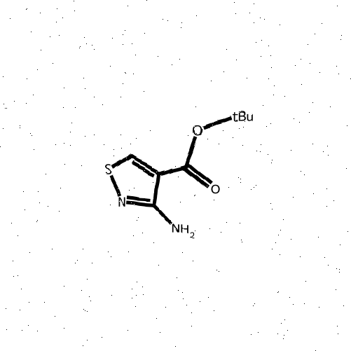 CC(C)(C)OC(=O)c1csnc1N